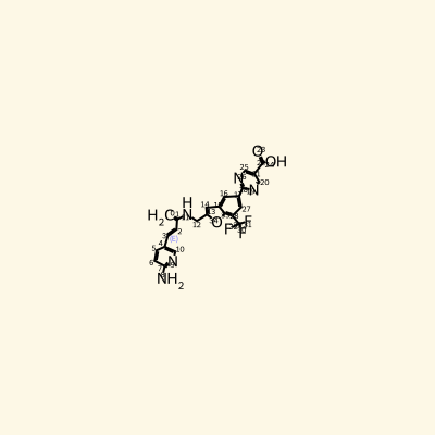 C=C(/C=C/c1ccc(N)nc1)NCc1cc2cc(-c3ncc(C(=O)O)cn3)cc(C(F)(F)F)c2o1